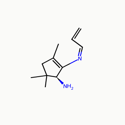 C=C/C=N\C1=C(C)CC(C)(C)[C@@H]1N